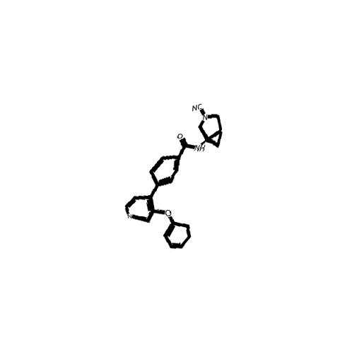 N#CN1CC2C[C@]2(NC(=O)c2ccc(-c3ccncc3OC3=CC=CCC3)cc2)C1